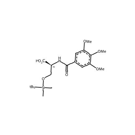 COc1cc(C(=O)N[C@@H](CO[Si](C)(C)C(C)(C)C)C(=O)O)cc(OC)c1OC